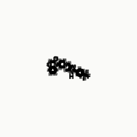 Cc1[nH]c(-c2ccc(C(F)(F)F)cc2)nc1CN1CCC(N2C(=O)COc3ccccc32)CC1